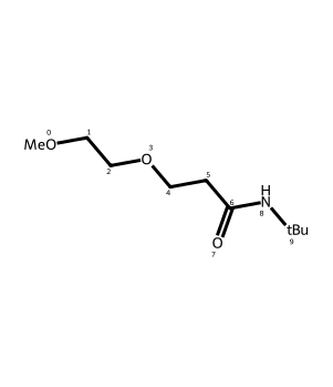 COCCOCCC(=O)NC(C)(C)C